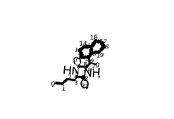 CCCC[C@H]1NC(=O)[C@@H]([C@H](C)c2cccc3ccccc23)NC1=O